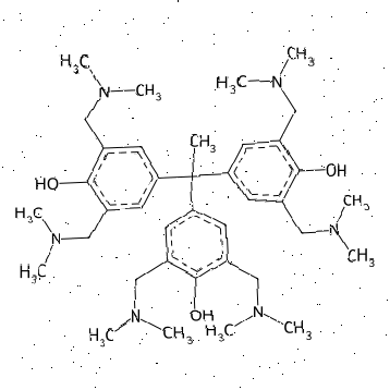 CN(C)Cc1cc(C(C)(c2cc(CN(C)C)c(O)c(CN(C)C)c2)c2cc(CN(C)C)c(O)c(CN(C)C)c2)cc(CN(C)C)c1O